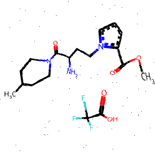 COC(=O)c1cccn1CCC(N)C(=O)N1CCC(C)CC1.O=C(O)C(F)(F)F